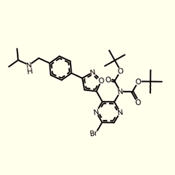 CC(C)NCc1ccc(-c2cc(-c3nc(Br)cnc3N(C(=O)OC(C)(C)C)C(=O)OC(C)(C)C)on2)cc1